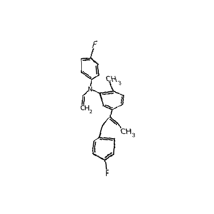 C=CN(c1ccc(F)cc1)c1cc(/C(=C/C)Cc2ccc(F)cc2)ccc1C